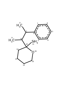 CC(c1ccccc1)C(C)C1([SiH3])CCCCO1